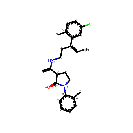 C=C(NCC/C(=C/CCC)c1cc(Cl)ccc1C)C1CCN(c2ccccc2C)C1=O